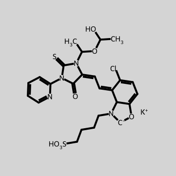 CC(O)OC(C)N1C(=S)N(c2ccccn2)C(=O)C1=CC=C1C(Cl)=CC=C2O[CH-]N(CCCCS(=O)(=O)O)C21.[K+]